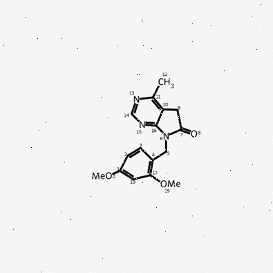 COc1ccc(CN2C(=O)Cc3c(C)ncnc32)c(OC)c1